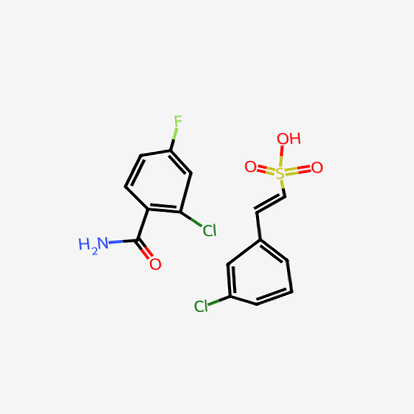 NC(=O)c1ccc(F)cc1Cl.O=S(=O)(O)C=Cc1cccc(Cl)c1